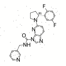 O=C(NCc1cccnc1)n1cnc2ccc(N3CCC[C@@H]3c3cc(F)ccc3F)nc21